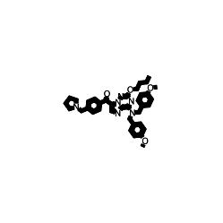 CCCCOc1nc(N(Cc2ccc(OC)cc2)Cc2ccc(OC)cc2)c2ncc(C(=O)c3ccc(CN4CCCC4)cc3)n2n1